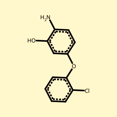 Nc1ccc(Oc2ccccc2Cl)cc1O